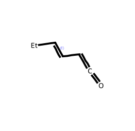 CC/C=C/C=C=O